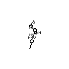 CCCCC1CCC(NC(=O)Nc2c[nH]c3ccc(-c4cc(COC)ccn4)cc23)CC1